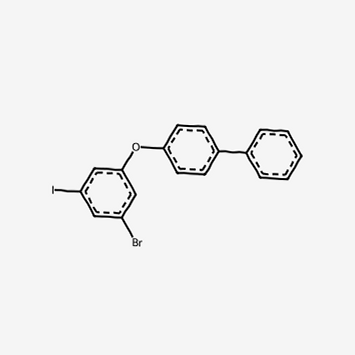 Brc1cc(I)cc(Oc2ccc(-c3ccccc3)cc2)c1